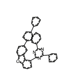 c1ccc(-c2ccc(-c3ccc4oc5cccc(-c6nc(-c7ccccc7)nc(-c7ccccc7)n6)c5c4c3)cc2)cc1